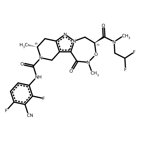 C[C@@H]1Cc2nn3c(c2CN1C(=O)Nc1ccc(F)c(C#N)c1F)C(=O)N(C)O[C@H](C(=O)N(C)CC(F)F)C3